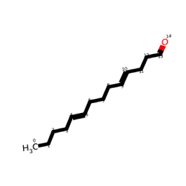 CCCC/C=C/CCC/C=C/CCC=O